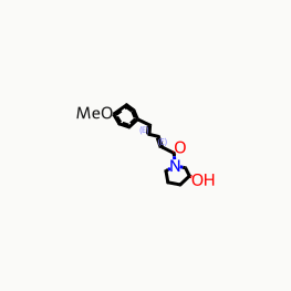 COc1ccc(/C=C/C=C/C(=O)N2CCCC(O)C2)cc1